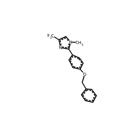 Cn1cc(C(F)(F)F)nc1-c1ccc(OCc2ccccc2)cc1